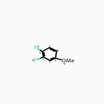 COc1[c]c(F)c(F)cc1